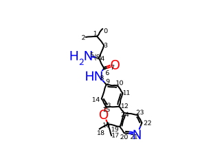 CC(C)C[C@H](N)C(=O)Nc1ccc2c(c1)OC(C)(C)c1cnccc1-2